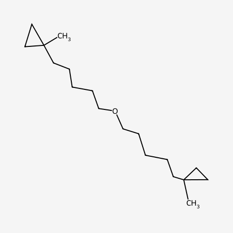 CC1(CCCCCOCCCCCC2(C)CC2)CC1